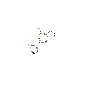 Clc1cc(-c2ccc[nH]2)cc2c1CCC2